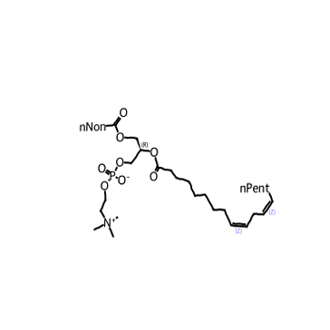 CCCCC/C=C\C/C=C\CCCCCCCC(=O)O[C@H](COC(=O)CCCCCCCCC)COP(=O)([O-])OCC[N+](C)(C)C